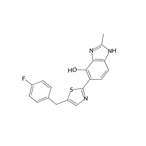 Cc1nc2c(O)c(-c3ncc(Cc4ccc(F)cc4)s3)ccc2[nH]1